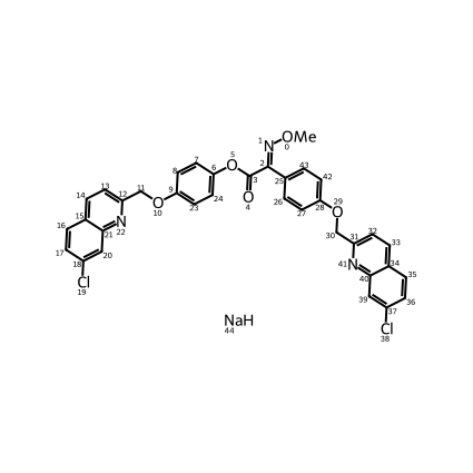 CON=C(C(=O)Oc1ccc(OCc2ccc3ccc(Cl)cc3n2)cc1)c1ccc(OCc2ccc3ccc(Cl)cc3n2)cc1.[NaH]